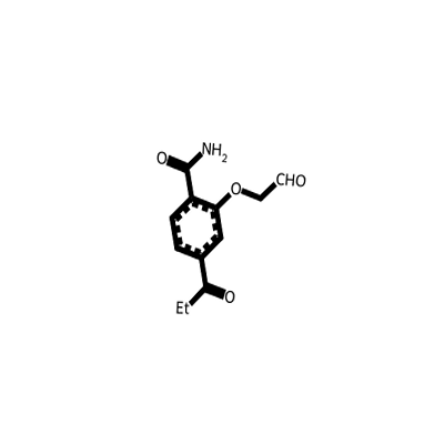 CCC(=O)c1ccc(C(N)=O)c(OCC=O)c1